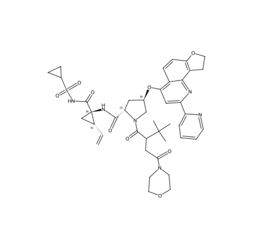 C=C[C@@H]1C[C@]1(NC(=O)[C@@H]1C[C@@H](Oc2cc(-c3ccccn3)nc3c4c(ccc23)OCC4)CN1C(=O)C(CC(=O)N1CCOCC1)C(C)(C)C)C(=O)NS(=O)(=O)C1CC1